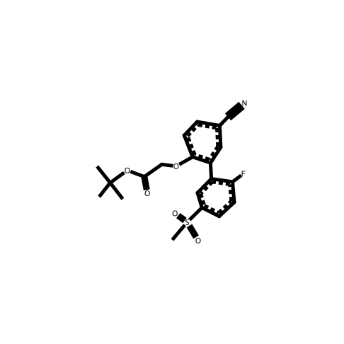 CC(C)(C)OC(=O)COc1ccc(C#N)cc1-c1cc(S(C)(=O)=O)ccc1F